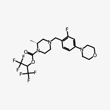 C[C@@H]1CN(Cc2ccc(N3CCOCC3)cc2F)CCN1C(=O)OC(C(F)(F)F)C(F)(F)F